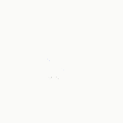 CNN1CCCc2cccnc21